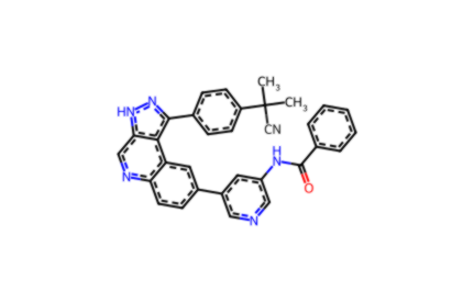 CC(C)(C#N)c1ccc(-c2n[nH]c3cnc4ccc(-c5cncc(NC(=O)c6ccccc6)c5)cc4c23)cc1